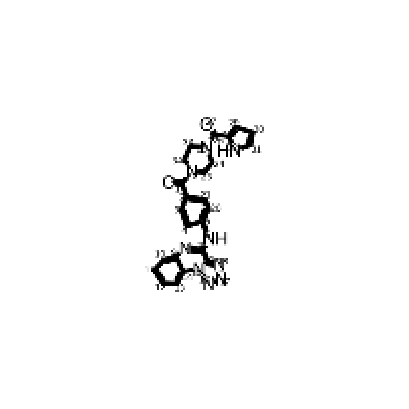 O=C(c1ccc(Nc2nc3ccccc3n3nnnc23)cc1)N1CCN(C(=O)c2ccc[nH]2)CC1